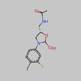 CC(=O)NC[C@H]1CN(c2ccc(I)c(F)c2)C(O)O1